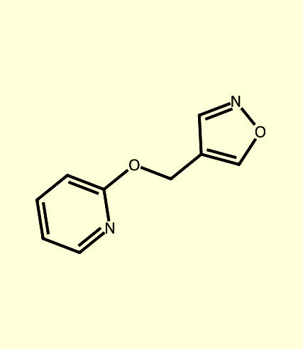 c1ccc(OCc2cnoc2)nc1